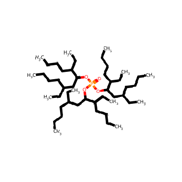 CCCCC(CC)CC(OP(=O)(OC(CC(CC)CCCC)C(CC)CCCC)OC(CC(CC)CCCC)C(CC)CCCC)C(CC)CCCC